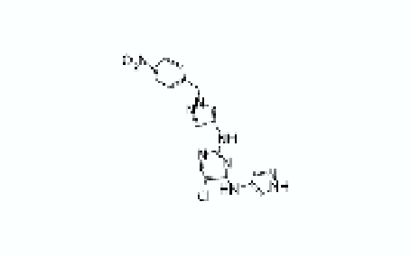 O=[N+]([O-])c1ccc(Cn2cc(Nc3ncc(Cl)c(Nc4cn[nH]c4)n3)cn2)cc1